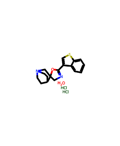 Cl.Cl.O.c1ccc2c(C3=NCC4(CN5CCC4CC5)O3)csc2c1